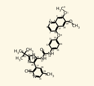 COc1cc2nccc(Oc3ccc(NC(=O)Nc4[nH]c(C(C)(C)C)nc4-c4cc(C)cnc4Cl)cc3)c2cc1OC